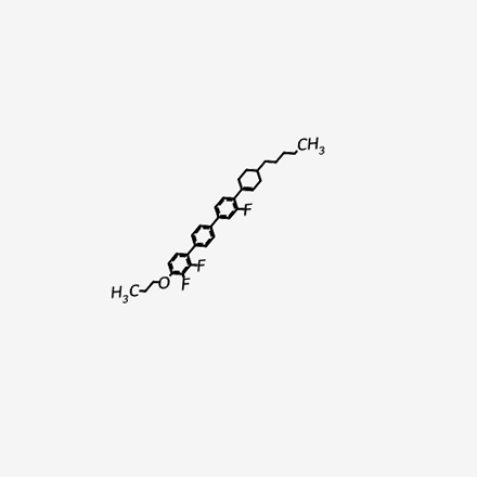 CCCCCC1CC=C(c2ccc(-c3ccc(-c4ccc(OCCC)c(F)c4F)cc3)cc2F)CC1